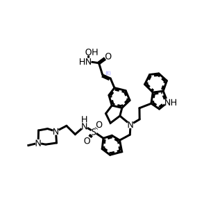 CN1CCN(CCNS(=O)(=O)c2cccc(CN(CCc3c[nH]c4ccccc34)C3CCc4cc(/C=C/C(=O)NO)ccc43)c2)CC1